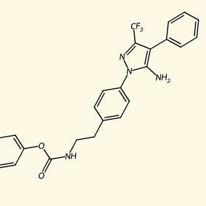 Nc1c(-c2ccccc2)c(C(F)(F)F)nn1-c1ccc(CCNC(=O)Oc2ccccc2)cc1